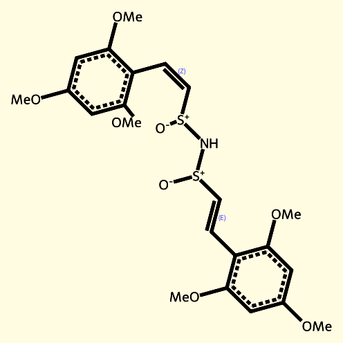 COc1cc(OC)c(/C=C\[S+]([O-])N[S+]([O-])/C=C/c2c(OC)cc(OC)cc2OC)c(OC)c1